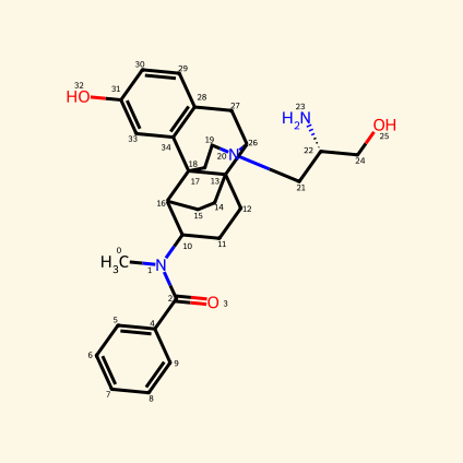 CN(C(=O)c1ccccc1)C1CCC23CCC1C21CCN(C[C@H](N)CO)C3Cc2ccc(O)cc21